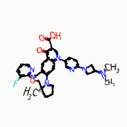 CN(C)C1CN(c2ccc(-n3cc(C(=O)O)c(=O)c4cc(C#N)c(N5CCC[C@@]5(C)COc5ncccc5F)cc43)cn2)C1